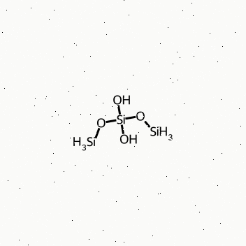 O[Si](O)(O[SiH3])O[SiH3]